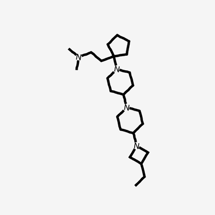 CCC1CN(C2CCN(C3CCN(C4(CCN(C)C)CCCC4)CC3)CC2)C1